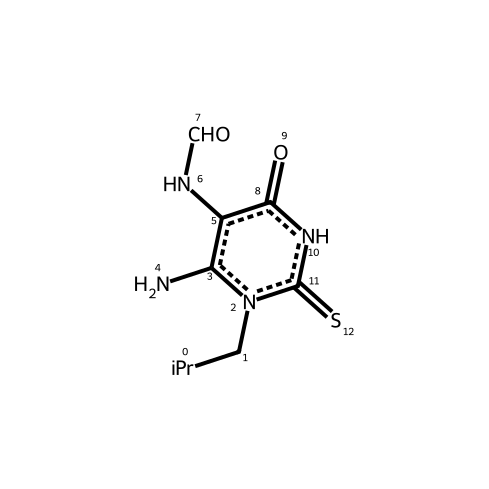 CC(C)Cn1c(N)c(NC=O)c(=O)[nH]c1=S